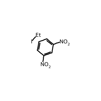 CCI.O=[N+]([O-])c1cccc([N+](=O)[O-])c1